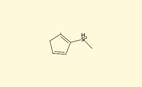 C[SiH2]C1=[C]CC=C1